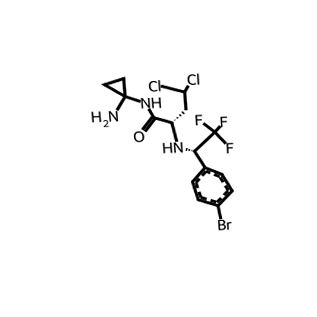 NC1(NC(=O)[C@H](CC(Cl)Cl)N[C@@H](c2ccc(Br)cc2)C(F)(F)F)CC1